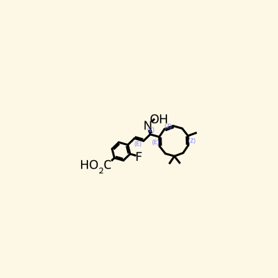 C/C1=C/CC(C)(C)C/C=C(C(/C=C/c2ccc(C(=O)O)cc2F)=N\O)\C=C/C1